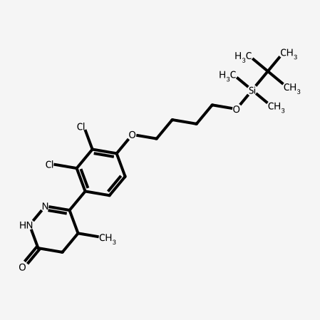 CC1CC(=O)NN=C1c1ccc(OCCCCO[Si](C)(C)C(C)(C)C)c(Cl)c1Cl